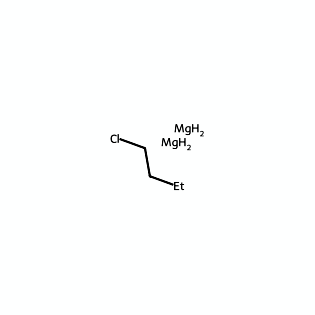 CCCCCl.[MgH2].[MgH2]